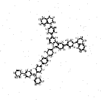 c1ccc(-c2ccc(N(c3ccccc3)c3ccc(-c4ccc(-c5ccc(-n6c7ccc(-c8ccc(-c9cccc%10ccccc9%10)cc8)cc7c7cc(-c8ccc(-c9cccc%10ccccc9%10)cc8)ccc76)cc5)cc4)cc3)cc2)cc1